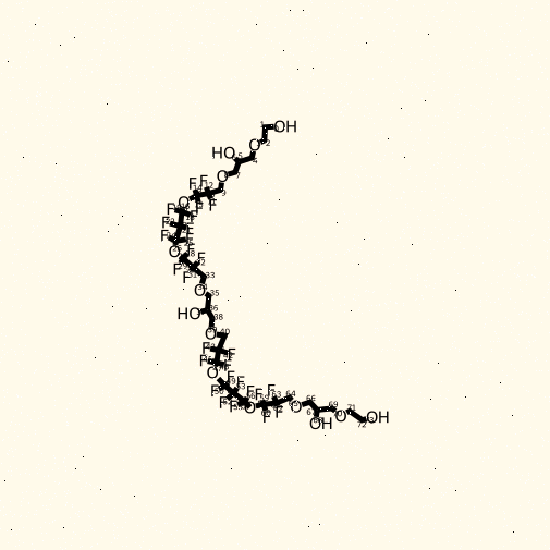 OCCOCC(O)COCC(F)(F)C(F)(F)OC(F)(F)C(F)(F)C(F)(F)OC(F)(F)C(F)(F)COCC(O)COCC(F)(F)C(F)(F)OC(F)(F)C(F)(F)C(F)(F)OC(F)(F)C(F)(F)COCC(O)COCCO